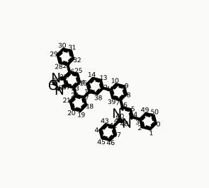 c1ccc(-c2cc(-c3cccc(-c4cccc(-c5ccccc5-c5ccc(-c6ccccc6)c6nonc56)c4)c3)nc(-c3ccccc3)n2)cc1